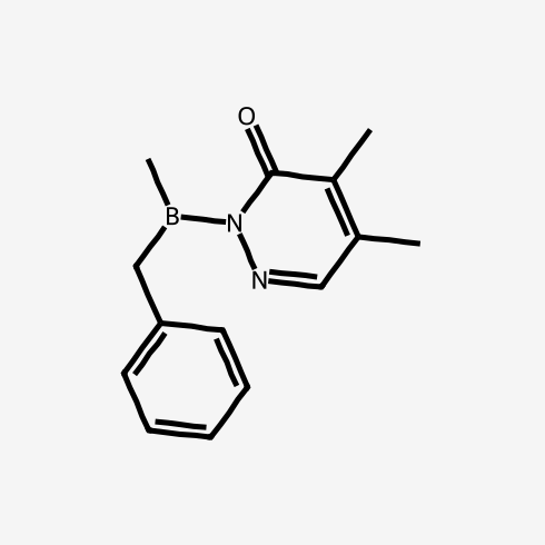 CB(Cc1ccccc1)n1ncc(C)c(C)c1=O